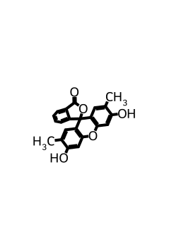 Cc1cc2c(cc1O)Oc1cc(O)c(C)cc1C21OC(=O)c2ccccc21